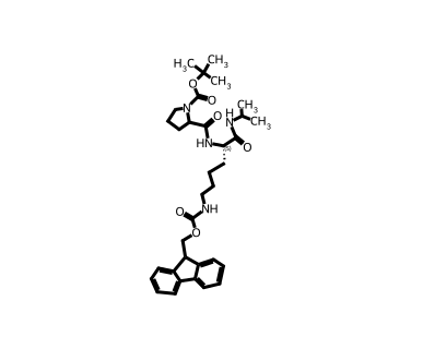 CC(C)NC(=O)[C@H](CCCCNC(=O)OCC1c2ccccc2-c2ccccc21)NC(=O)C1CCCN1C(=O)OC(C)(C)C